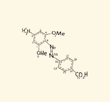 COc1cc(N)cc(OC)c1N=Nc1ccc(C(=O)O)cc1